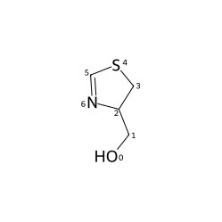 OCC1CSC=N1